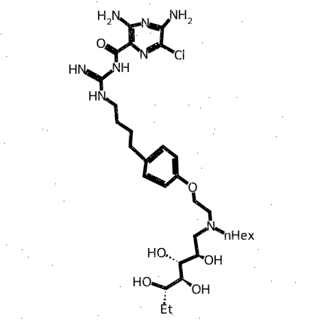 CCCCCCN(CCOc1ccc(CCCCNC(=N)NC(=O)c2nc(Cl)c(N)nc2N)cc1)C[C@@H](O)[C@@H](O)[C@@H](O)[C@@H](O)CC